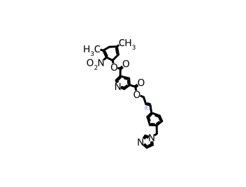 CC1=CC(OC(=O)c2cncc(C(=O)OC/C=C/c3ccc(Cn4ccnc4)cc3)c2)C([N+](=O)[O-])=C(C)C1